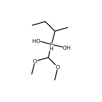 CCC(C)[PH](O)(O)C(OC)OC